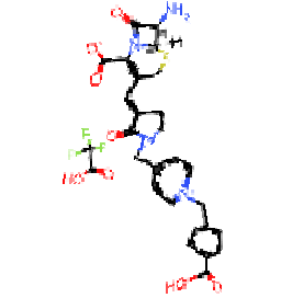 N[C@@H]1C(=O)N2C(C(=O)[O-])=C(C=C3CCN(Cc4cc[n+](Cc5ccc(C(=O)O)cc5)cc4)C3=O)CS[C@H]12.O=C(O)C(F)(F)F